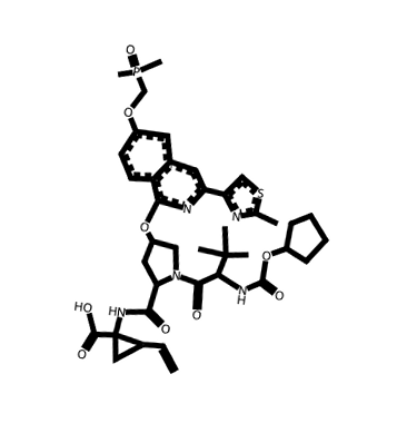 C=CC1CC1(NC(=O)C1CC(Oc2nc(-c3csc(C)n3)cc3cc(OCP(C)(C)=O)ccc23)CN1C(=O)C(NC(=O)OC1CCCC1)C(C)(C)C)C(=O)O